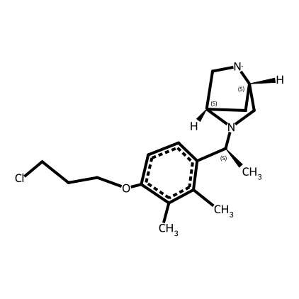 Cc1c(OCCCCl)ccc([C@H](C)N2C[C@@H]3C[C@H]2C[N]3)c1C